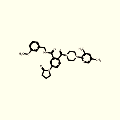 COc1cccc(CNC(=O)c2cc(N3CCCC3=O)ccc2C(=O)N2CCN(c3ncc(C)cc3C)CC2)c1